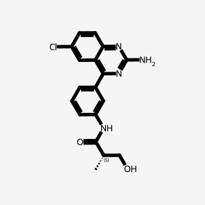 C[C@@H](CO)C(=O)Nc1cccc(-c2nc(N)nc3ccc(Cl)cc23)c1